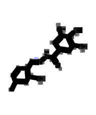 Cc1ccc(/C=N/NC(=O)c2cc(O)c(O)c(O)c2)c(O)c1